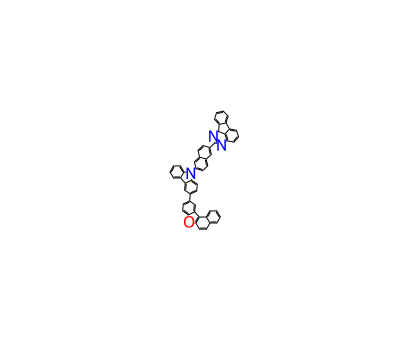 c1ccc2c(c1)-c1cccc3nc(-c4ccc5cc(-n6c7ccccc7c7cc(-c8ccc9oc%10ccc%11ccccc%11c%10c9c8)ccc76)ccc5c4)nc-2c13